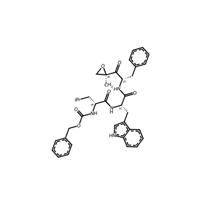 CC(C)C[C@@H](NC(=O)OCc1ccccc1)C(=O)N[C@@H](Cc1c[nH]c2ccccc12)C(=O)N[C@@H](Cc1ccccc1)C(=O)[C@@]1(C)CO1